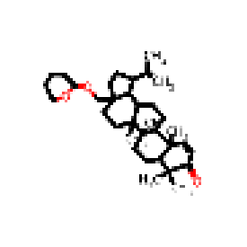 C=C(C)C1CCC2(COC3CCCCO3)CCC3(C)C(CCC4C5(C)C=CC(=O)C(C)(C)C5CCC43C)C12